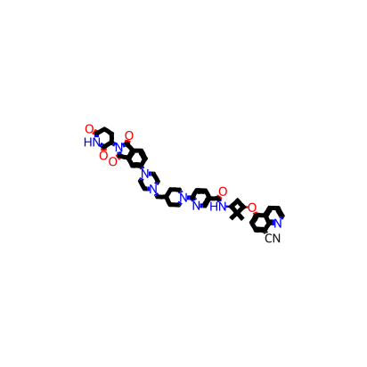 CC1(C)[C@@H](NC(=O)c2ccc(N3CCC(CN4CCN(c5ccc6c(c5)C(=O)N(C5CCC(=O)NC5=O)C6=O)CC4)CC3)nc2)C[C@H]1Oc1ccc(C#N)c2ncccc12